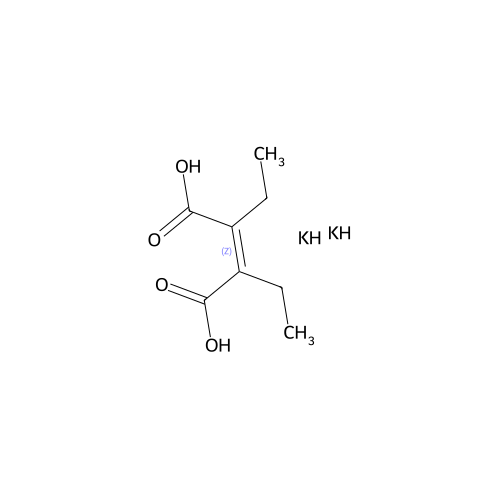 CC/C(C(=O)O)=C(\CC)C(=O)O.[KH].[KH]